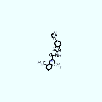 C=C/C(=C\c1ccccc1C)C(=O)Nc1nc2ccc(-n3ccnc3)cc2s1